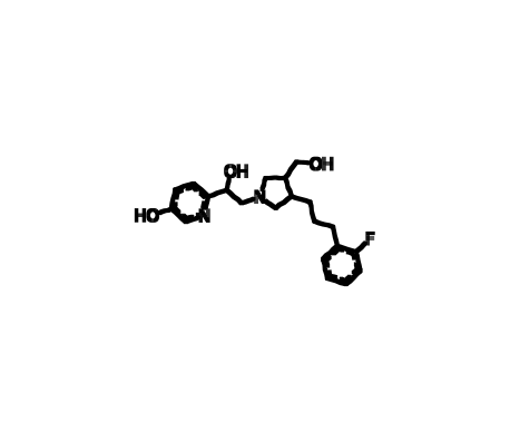 OCC1CN(CC(O)c2ccc(O)cn2)CC1CCCc1ccccc1F